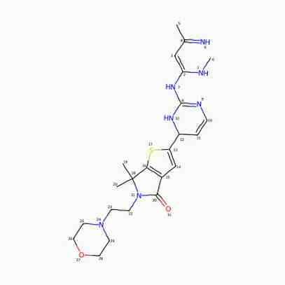 CN/C(=C\C(C)=N)NC1=NC=CC(c2cc3c(s2)C(C)(C)N(CCN2CCOCC2)C3=O)N1